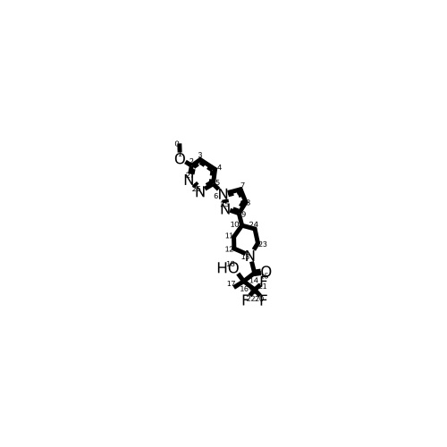 COc1ccc(-n2ccc(C3CCN(C(=O)C(C)(O)C(F)(F)F)CC3)n2)nn1